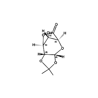 CC1(C)O[C@H]2O[C@@H]3C(=O)O[C@@H]([C@@H]3O)[C@H]2O1